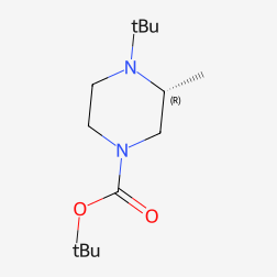 C[C@@H]1CN(C(=O)OC(C)(C)C)CCN1C(C)(C)C